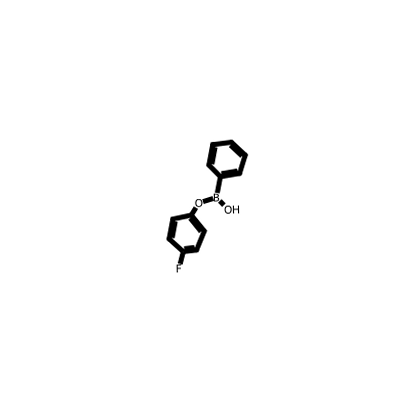 OB(Oc1ccc(F)cc1)c1ccccc1